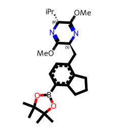 COC1=N[C@H](C(C)C)C(OC)=N[C@H]1Cc1ccc(B2OC(C)(C)C(C)(C)O2)c2c1CCC2